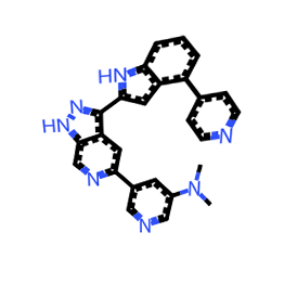 CN(C)c1cncc(-c2cc3c(-c4cc5c(-c6ccncc6)cccc5[nH]4)n[nH]c3cn2)c1